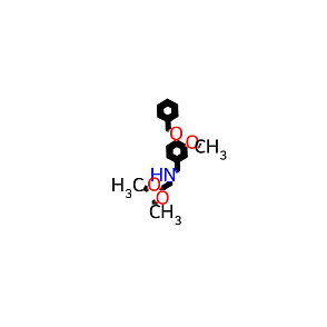 CCOC(CNCc1ccc(OCc2ccccc2)c(OC)c1)OCC